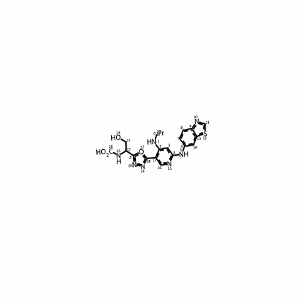 CC(C)Nc1cc(Nc2ccc3ncsc3c2)ncc1-c1nnc(C(CO)NC(=O)O)o1